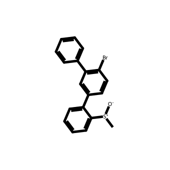 C[S+]([O-])c1ccccc1-c1ccc(Br)c(-c2ccccc2)c1